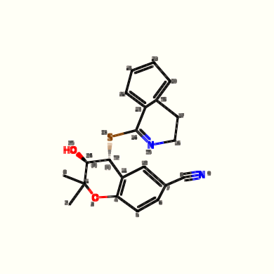 CC1(C)Oc2ccc(C#N)cc2[C@@H](SC2=NCCc3ccccc32)[C@@H]1O